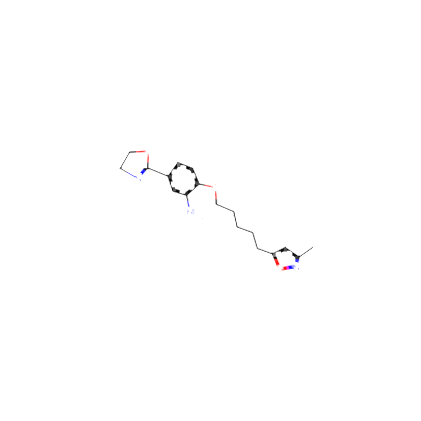 Cc1cc(CCCCCOc2ccc(C3=NCCO3)cc2N)on1